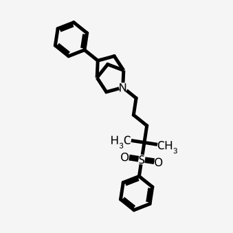 CC(C)(CCCN1CC2CC1CC2c1ccccc1)S(=O)(=O)c1ccccc1